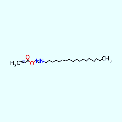 C/C=C/C(=O)OCCNCCCCCCCCCCCCCCCCCC